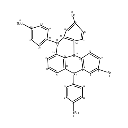 CC(C)(C)c1ccc(N2c3cc(Br)ccc3B3c4ccc(Br)cc4N(c4ccc(C(C)(C)C)cc4)c4cccc2c43)cc1